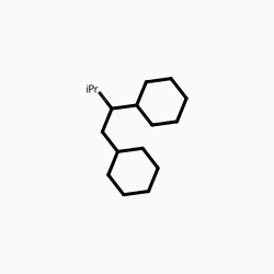 CC(C)C(CC1CCCCC1)C1CCCCC1